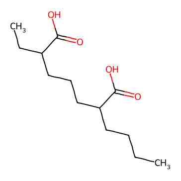 CCCCC(CCCC(CC)C(=O)O)C(=O)O